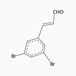 O=[C]C=Cc1cc(Br)cc(Br)c1